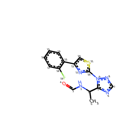 CC(NC=O)c1ncnn1-c1nc(-c2ccccc2F)cs1